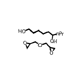 C(OCC1CO1)C1CO1.CCCC(O)CCCCCO